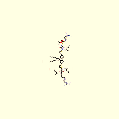 [C-]#[N+]/C(C#N)=c1/cc/c(=C\c2ccc(C3=C4C(=O)N(CC(CC)CCCC)C(c5ccc(-c6ccc7c(c6)C(CCCCCCCC)(CCCCCCCC)c6cc(-c8ccc(C9=C%10C(=O)N(CC(CC)CCCC)C(c%11ccc(/C=c%12\cc/c(=C(/C#N)[N+]#[C-])s%12)s%11)=C%10C(=O)N9CC(CC)CCCC)s8)ccc6-7)s5)=C4C(=O)N3CC(CC)CCCC)s2)s1